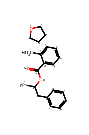 C1CCOC1.CCCC(Cc1ccccc1)OC(=O)c1ccccc1C(=O)O